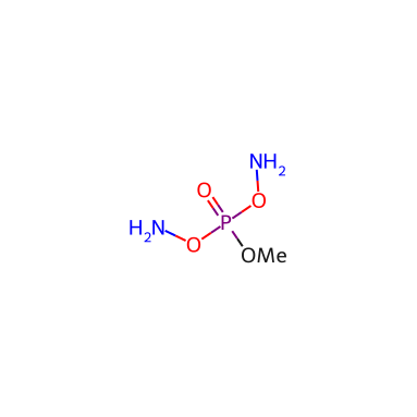 COP(=O)(ON)ON